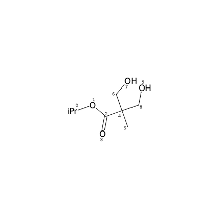 CC(C)OC(=O)C(C)(CO)CO